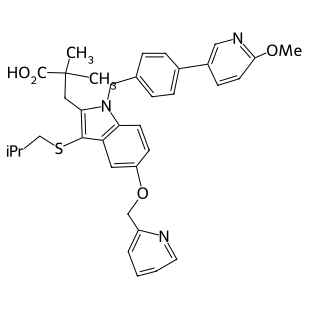 COc1ccc(-c2ccc(Cn3c(CC(C)(C)C(=O)O)c(SCC(C)C)c4cc(OCc5ccccn5)ccc43)cc2)cn1